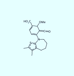 COC1C(=C=O)C(N2CCCCc3c2sc(C)c3C)=CC=C1C(=O)O